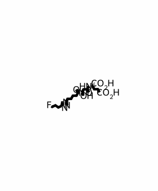 O=C(O)CC[C@H](NC(=O)CN(O)C(=O)CCCCn1cc(CCCF)nn1)C(=O)O